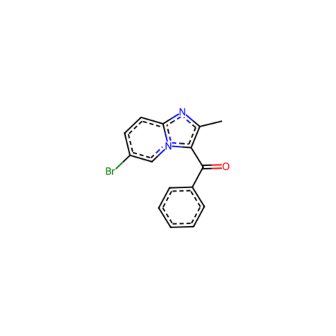 Cc1nc2ccc(Br)cn2c1C(=O)c1ccccc1